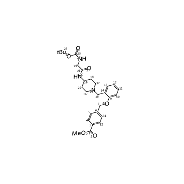 COC(=O)c1ccc(COc2ccccc2CN2CCC(NC(=O)CNC(=O)OC(C)(C)C)CC2)cc1